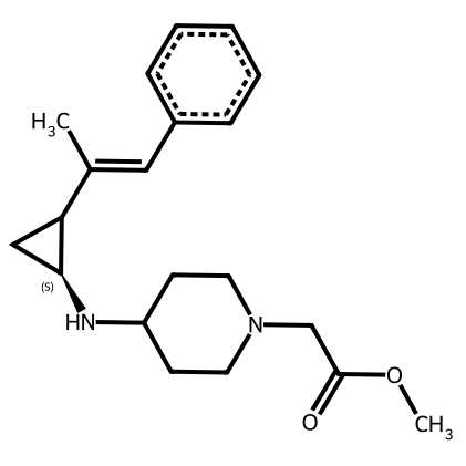 COC(=O)CN1CCC(N[C@H]2CC2C(C)=Cc2ccccc2)CC1